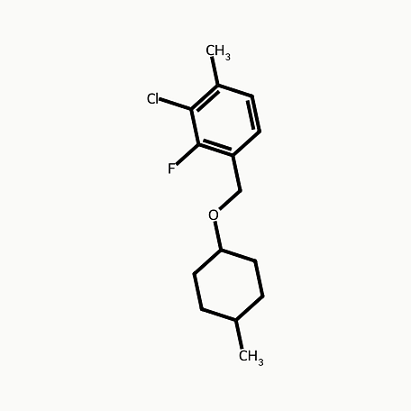 Cc1ccc(COC2CCC(C)CC2)c(F)c1Cl